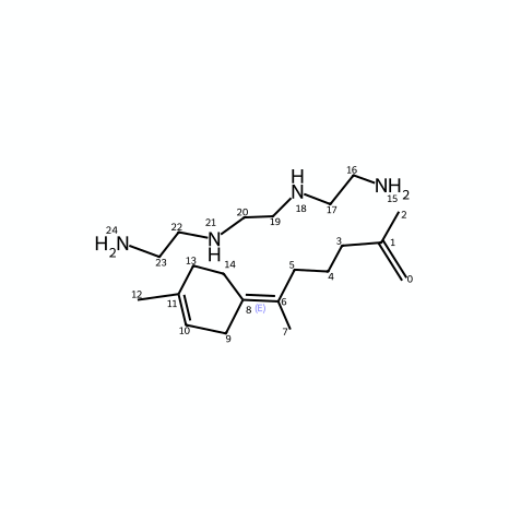 C=C(C)CCC/C(C)=C1/CC=C(C)CC1.NCCNCCNCCN